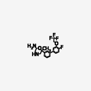 CC1(c2cccc(-c3ccc(F)c(OCC(F)(F)F)c3)c2)CNCC(N)O1